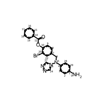 Nc1ccc(N(Cc2ccc(OC(=O)c3ccccc3)c(Br)c2)n2cnnc2)cc1